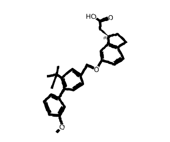 COc1cccc(-c2ccc(COc3ccc4c(c3)[C@@H](CC(=O)O)CC4)cc2C(C)(C)C)c1